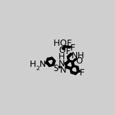 Nc1cccc(Sc2nc3c4ccc(F)cc4c4c(=O)[nH]ccc4c3[nH]2)c1.O=C(O)C(F)(F)F